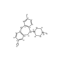 Cc1ccc2c(c1)Sc1ccc(Cl)cc1CC2N1CCN(C)CC1